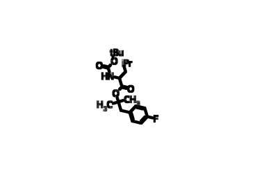 CC(C)CC(NC(=O)OC(C)(C)C)C(=O)OC(C)(C)Cc1ccc(F)cc1